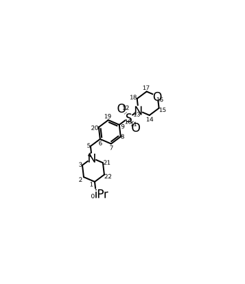 CC(C)C1CCN(Cc2ccc(S(=O)(=O)N3CCOCC3)cc2)CC1